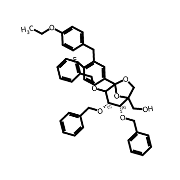 CCOc1ccc(Cc2cc(C34OCC(CO)(O3)[C@H](OCc3ccccc3)[C@H](OCc3ccccc3)C4OCc3ccccc3)ccc2F)cc1